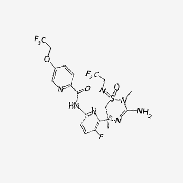 CN1C(N)=N[C@](C)(c2nc(NC(=O)c3ccc(OCC(F)(F)F)cn3)ccc2F)CS1(=O)=NCC(F)(F)F